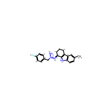 Cc1ccc2[nH]c3c(c2c1)CCC/C3=N\N(N)Cc1ccc(F)cc1